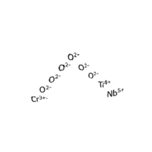 [Cr+3].[Nb+5].[O-2].[O-2].[O-2].[O-2].[O-2].[O-2].[Ti+4]